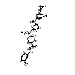 CN(c1nccc(Nc2cc(C3CC3)[nH]n2)n1)[C@H]1CC[C@H](C(=O)NCc2cccc(C(F)(F)F)c2)CC1